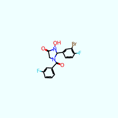 O=C1CN(C(=O)c2cccc(F)c2)C(c2ccc(F)c(Br)c2)N1O